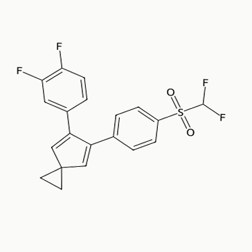 O=S(=O)(c1ccc(C2=CC3(C=C2c2ccc(F)c(F)c2)CC3)cc1)C(F)F